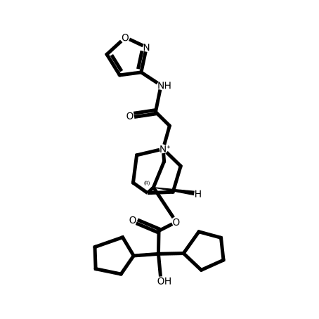 O=C(C[N+]12CCC(CC1)[C@@H](OC(=O)C(O)(C1CCCC1)C1CCCC1)C2)Nc1ccon1